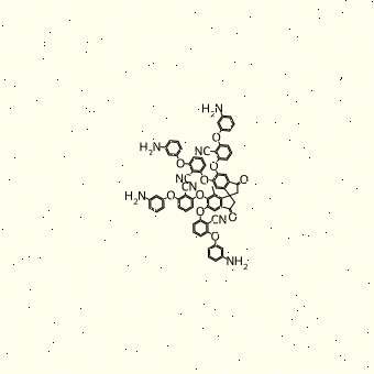 Cc1c(Oc2cccc(Oc3cccc(N)c3)c2C#N)c(Oc2cccc(Oc3cccc(N)c3)c2C#N)cc2c1C1(CC(=O)c3cc(Oc4cccc(Oc5cccc(N)c5)c4C#N)c(Oc4cccc(Oc5cccc(N)c5)c4C#N)cc31)CC2=O